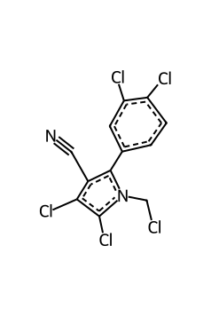 N#Cc1c(Cl)c(Cl)n(CCl)c1-c1ccc(Cl)c(Cl)c1